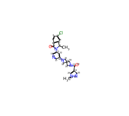 CC1c2cc(Cl)ccc2C(=O)N1c1cncc(N2CC3(CN(C(=O)c4cnn(C)c4)C3)C2)c1